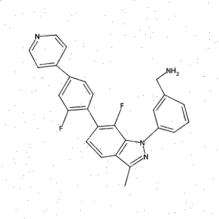 Cc1nn(-c2cccc(CN)c2)c2c(F)c(-c3ccc(-c4ccncc4)cc3F)ccc12